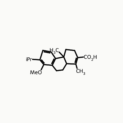 COc1c(C(C)C)ccc2c1CCC1C(C)=C(C(=O)O)CCC21C